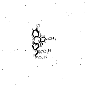 CN1C[C@@H]2c3cc(Cl)ccc3Oc3ccc(/C(=C/C(=O)O)C(=O)O)cc3[C@H]2C1